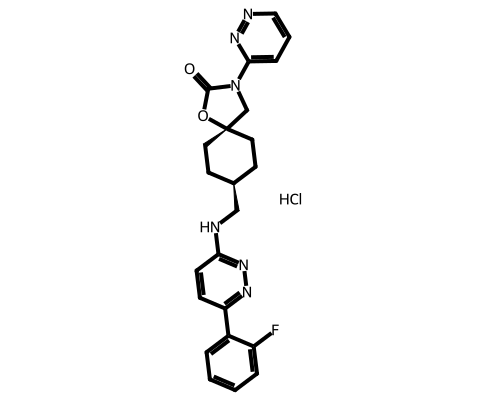 Cl.O=C1O[C@]2(CC[C@H](CNc3ccc(-c4ccccc4F)nn3)CC2)CN1c1cccnn1